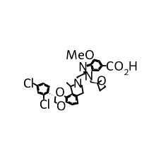 COc1cc(C(=O)O)cc2c1nc(CN1CCc3ccc4c(c3C1C)O[C@@H](c1ccc(Cl)cc1Cl)CO4)n2C[C@@H]1CCO1